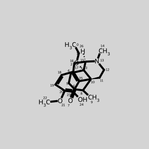 CCO[C@@]12CCC(=O)C(C)[C@@]13CCN(C)[C@@H]2Cc1ccc(OC)c(O)c13